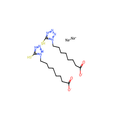 O=C([O-])CCCCCCCn1nnnc1S.O=C([O-])CCCCCCCn1nnnc1S.[Na+].[Na+]